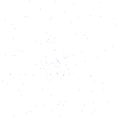 CC(C)(C)C(c1cn(C(c2ccccc2)(c2ccccc2)c2ccccc2)cn1)N(C(=O)O)C1CCN(Cc2ccccc2)CC1